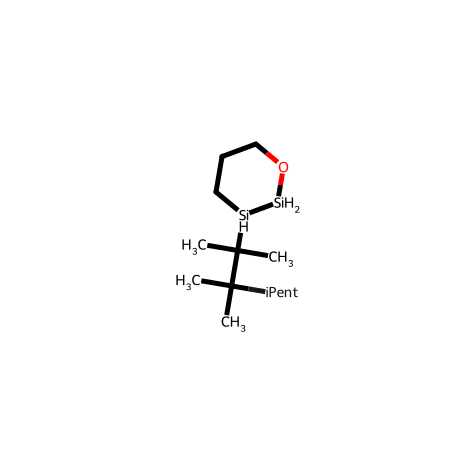 CCCC(C)C(C)(C)C(C)(C)[SiH]1CCCO[SiH2]1